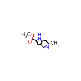 COC(=O)c1cc2cnc(C)cc2[nH]1